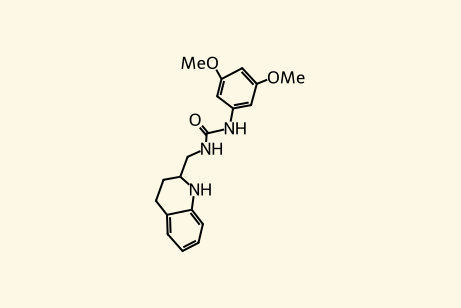 COc1cc(NC(=O)NCC2CCc3ccccc3N2)cc(OC)c1